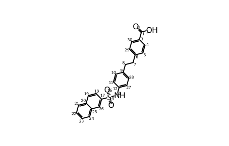 O=C(O)c1ccc(CCc2ccc(NS(=O)(=O)c3ccc4ccccc4c3)cc2)cc1